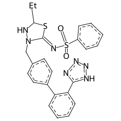 CCC1NN(Cc2ccc(-c3ccccc3-c3nnn[nH]3)cc2)C(=NS(=O)(=O)c2ccccc2)S1